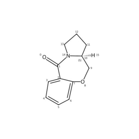 O=C1c2ccccc2OC[C@@H]2CCCN12